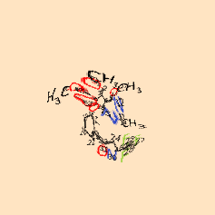 COC=C(C(=O)OC)c1c(OC)nc(C)nc1Oc1cccc(-c2cc(C(F)(F)F)no2)c1